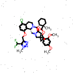 COc1ccc(COC(=O)[C@@]2(C)CCCC[C@H]2C(=O)N2CCc3c(Cl)ccc(OCc4nnn(C)c4C(F)F)c3[C@H]2CN2CC3(CC3)CC2=O)c(OC)c1